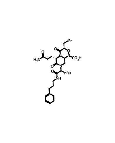 CCCCC(C(=O)NCCCc1ccccc1)N1CC2N(C(=O)O)O[C@H](CC(C)C)C(=O)N2[C@@H](CCC(N)=O)C1=O